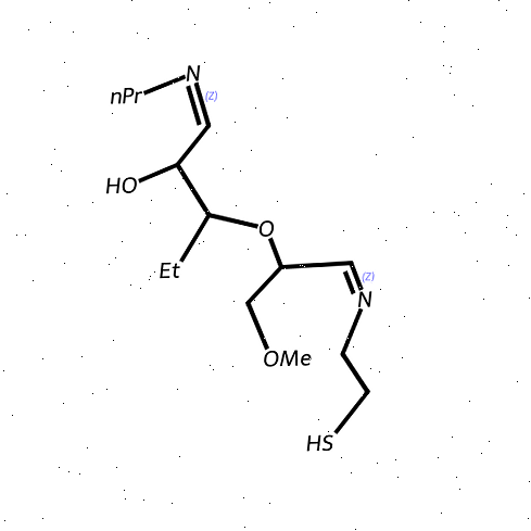 CCC/N=C\C(O)C(CC)OC(/C=N\CCS)COC